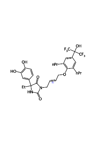 CCCc1cc(C(O)(C(F)(F)F)C(F)(F)F)cc(CCC)c1OC/C=C/CN1C(=O)NC(CC)(c2ccc(O)c(O)c2)C1=O